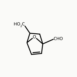 O=CC12C=CC(O1)C(C(=O)O)C2